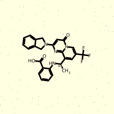 C[C@@H](Nc1ccccc1C(=O)O)c1cc(C(F)(F)F)cn2c(=O)cc(N3Cc4ccccc4C3)nc12